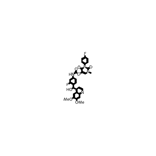 COc1cc2nccc(C(O)c3ccc(NC(=O)Oc4cn(C)c(=O)n(-c5ccc(F)cc5)c4=O)cc3F)c2cc1OC